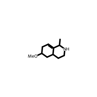 COC1CC=C2C(CCNC2C)C1